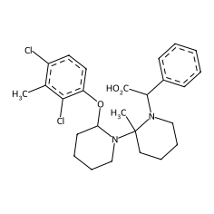 Cc1c(Cl)ccc(OC2CCCCN2C2(C)CCCCN2C(C(=O)O)c2ccccc2)c1Cl